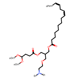 CCCCC/C=C\C/C=C\CCCCCCCC(=O)OCC(COCCN(CC)CC)COC(=O)CCC(OCCCCCCCC)OCCCCCCCC